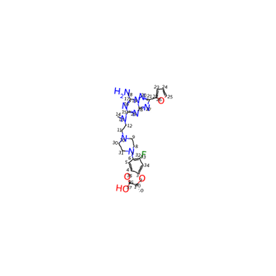 C[C@@H](Oc1ccc(N2CCN(CCN(C)c3nc(N)n4nc(-c5ccco5)nc4n3)CC2)c(F)c1)C(=O)O